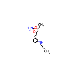 CCCCCNc1cccc(CCC(CCCC)OC(N)=O)c1